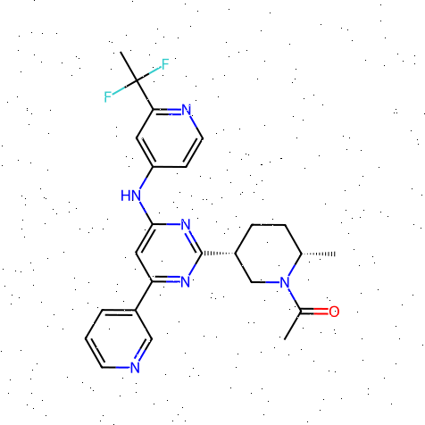 CC(=O)N1C[C@H](c2nc(Nc3ccnc(C(C)(F)F)c3)cc(-c3cccnc3)n2)CC[C@@H]1C